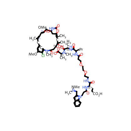 CNN(C)Cc1cc2ccccc2n1CCC(=O)N[C@@H](CCC(=O)O)C(=O)NCCOCCOCCC(=O)NC(C(=O)N[C@@H](C)C(=O)N(C)[C@@H](C)C(=O)O[C@H]1CC(=O)N(C)c2cc(cc(OC)c2Cl)C/C(C)=C/C=C/[C@@H](OC)[C@@]2(O)C[C@H](OC(=O)N2)[C@@H](C)CC1(C)O)C(C)C